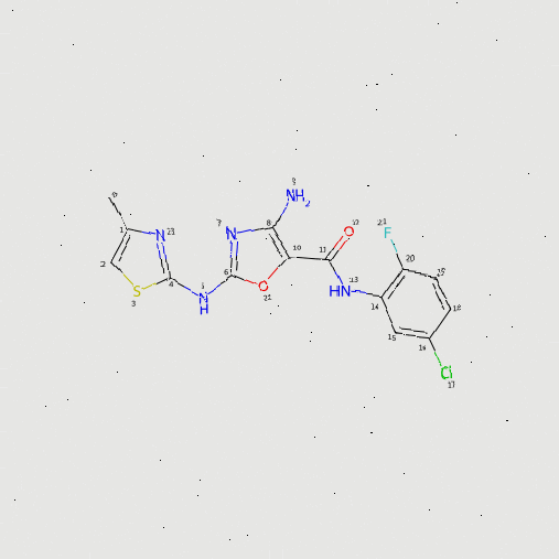 Cc1csc(Nc2nc(N)c(C(=O)Nc3cc(Cl)ccc3F)o2)n1